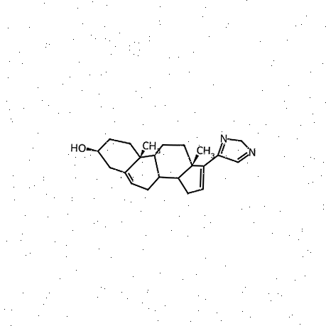 C[C@]12CC[C@H](O)CC1=CCC1C2CC[C@]2(C)C(C3=NCN=C3)=CCC12